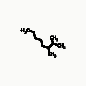 [CH2]CCCCC(C)C(C)C